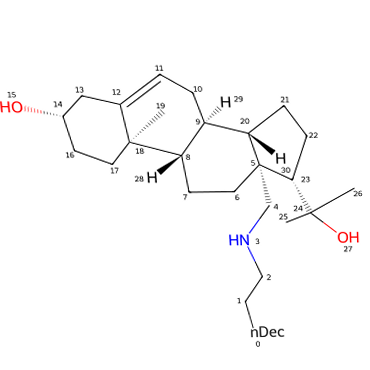 CCCCCCCCCCCCNC[C@]12CC[C@H]3[C@@H](CC=C4C[C@@H](O)CC[C@@]43C)[C@@H]1CC[C@@H]2C(C)(C)O